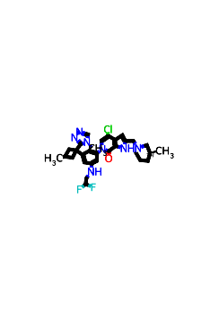 CC1CC(c2cc(NCC(F)F)cc(-n3cc(Cl)c4cc(CN5CCC[C@H](C)C5)[nH]c4c3=O)c2)(c2nncn2C)C1